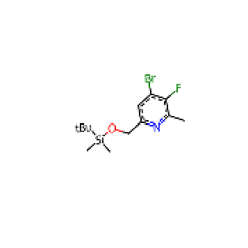 Cc1nc(CO[Si](C)(C)C(C)(C)C)cc(Br)c1F